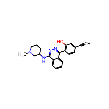 C#Cc1ccc(-c2nnc(NC3CCCN(C)C3)c3ccccc23)c(O)c1